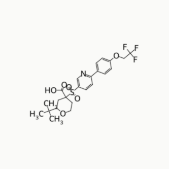 CC(C)(C)C1CC(C(=O)O)(S(=O)(=O)c2ccc(-c3ccc(OCC(F)(F)F)cc3)nc2)CCO1